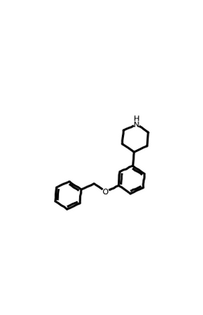 c1ccc(COc2cccc(C3CCNCC3)c2)cc1